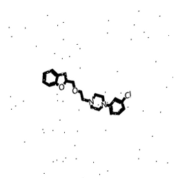 Clc1cccc(N2CCN(CCOCC3Cc4ccccc4O3)CC2)c1